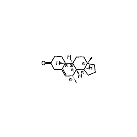 C[C@@H]1C=C2CC(=O)CC[C@@H]2[C@H]2CC[C@]3(C)CCC[C@H]3[C@@H]21